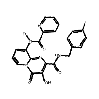 CCN(C(=O)c1ccccn1)c1cccn2c(=O)c(O)c(C(=O)NCc3ccc(F)cc3)nc12